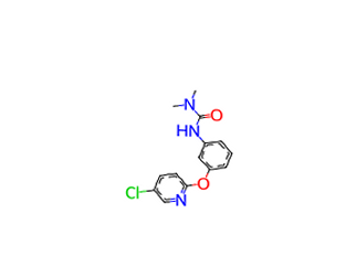 CN(C)C(=O)Nc1cccc(Oc2ccc(Cl)cn2)c1